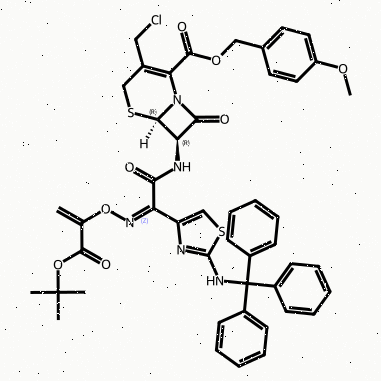 C=C(O/N=C(\C(=O)N[C@@H]1C(=O)N2C(C(=O)OCc3ccc(OC)cc3)=C(CCl)CS[C@H]12)c1csc(NC(c2ccccc2)(c2ccccc2)c2ccccc2)n1)C(=O)OC(C)(C)C